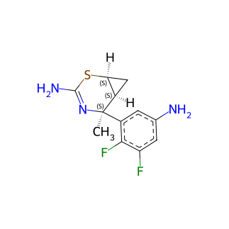 C[C@]1(c2cc(N)cc(F)c2F)N=C(N)S[C@H]2C[C@H]21